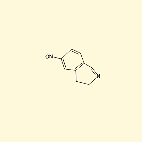 O=Nc1ccc2c(c1)CCN=C2